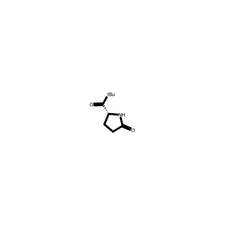 CC(C)(C)C(=O)[C@H]1CCC(=O)N1